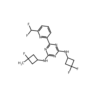 CC1(F)CC(Nc2nc(NC3CC(F)(F)C3)nc(-c3cccc(C(F)F)n3)n2)C1